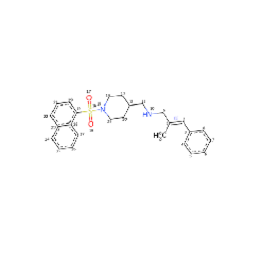 C/C(=C\c1ccccc1)CNCC1CCN(S(=O)(=O)c2cccc3ccccc23)CC1